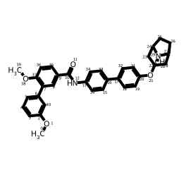 COc1cccc(-c2cc(C(=O)Nc3ccc(-c4ccc(OC5CC6CCC(C5)N6C)cc4)cc3)ccc2OC)c1